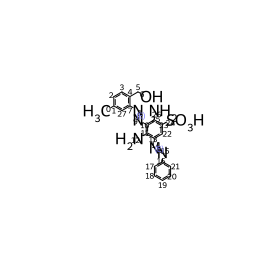 Cc1ccc(CO)c(/N=N/c2c(N)c(/N=N/c3ccccc3)cc(S(=O)(=O)O)c2N)c1